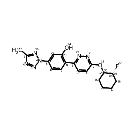 Cc1nnn(-c2ccc(-c3ccc(O[C@@H]4CCCC[C@H]4F)nn3)c(O)c2)n1